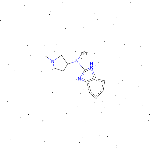 CCCN(c1nc2ccccc2[nH]1)C1CCN(C)C1